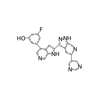 Oc1cc(F)cc(-c2cncc3[nH]c(-c4n[nH]c5cnc(-c6cncnc6)cc45)cc23)c1